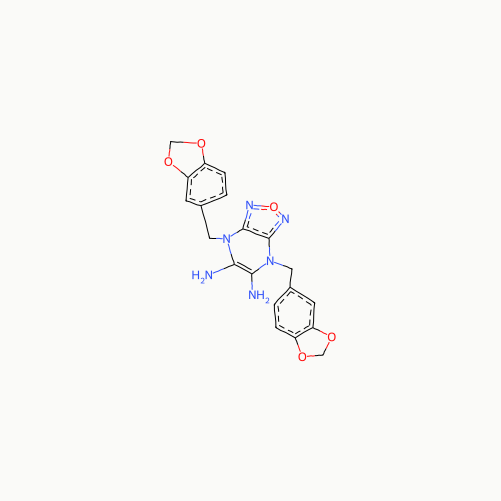 NC1=C(N)N(Cc2ccc3c(c2)OCO3)c2nonc2N1Cc1ccc2c(c1)OCO2